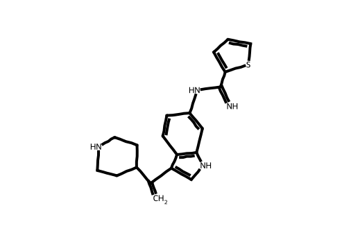 C=C(c1c[nH]c2cc(NC(=N)c3cccs3)ccc12)C1CCNCC1